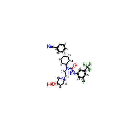 N#Cc1cccc([C@H]2CC[C@H](N(CCN3CC[C@@H](O)C3)C(=O)Nc3cc(F)cc(C(F)(F)F)c3)CC2)c1